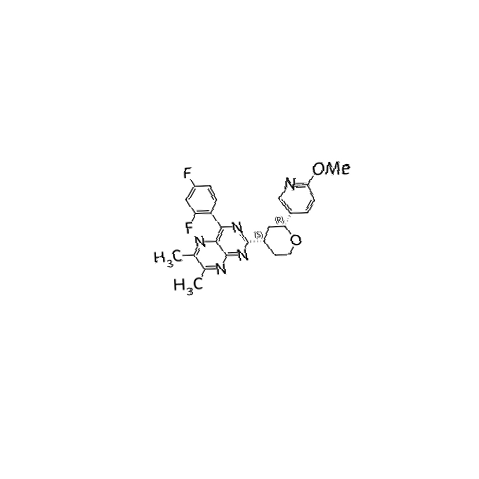 COc1ccc([C@H]2C[C@@H](c3nc(-c4ccc(F)cc4F)c4nc(C)c(C)nc4n3)CCO2)cn1